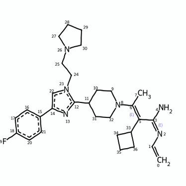 C=C/N=C(N)\C(=C(/C)N1CCC(c2nc(-c3ccc(F)cc3)cn2CCN2CCCC2)CC1)C1CCC1